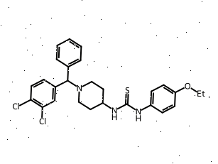 CCOc1ccc(NC(=S)NC2CCN(C(c3ccccc3)c3ccc(Cl)c(Cl)c3)CC2)cc1